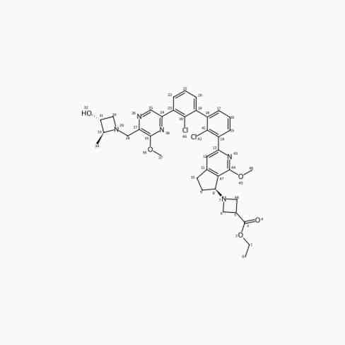 CCOC(=O)C1CN([C@H]2CCc3cc(-c4cccc(-c5cccc(-c6cnc(CN7C[C@@H](O)[C@@H]7C)c(OC)n6)c5Cl)c4Cl)nc(OC)c32)C1